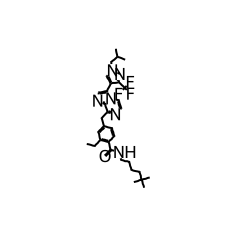 CCc1cc(Cc2nccn3c(-c4cn(CC(C)C)nc4C(F)(F)F)cnc23)ccc1C(=O)NCCCCC(C)(C)C